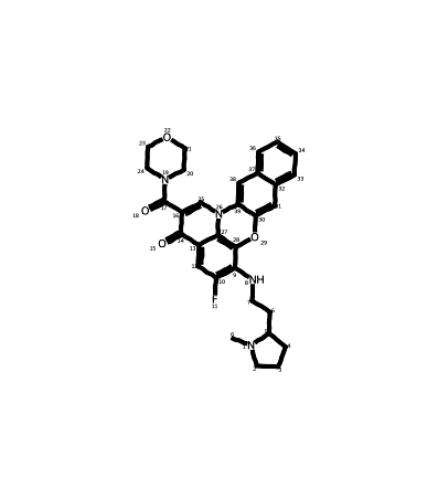 CN1CCCC1CCNc1c(F)cc2c(=O)c(C(=O)N3CCOCC3)cn3c2c1Oc1cc2ccccc2cc1-3